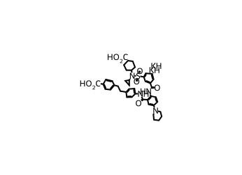 O=C(O)c1ccc(CCc2ccc(NC(=O)c3cc(N4CCCCC4)ccc3NC(=O)c3cccc(S(=O)(=O)N(C4CCC(C(=O)O)CC4)C4CC4)c3)cc2)cc1.[KH].[KH]